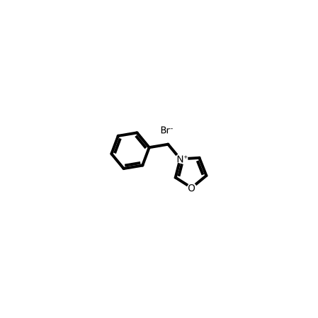 [Br-].c1ccc(C[n+]2ccoc2)cc1